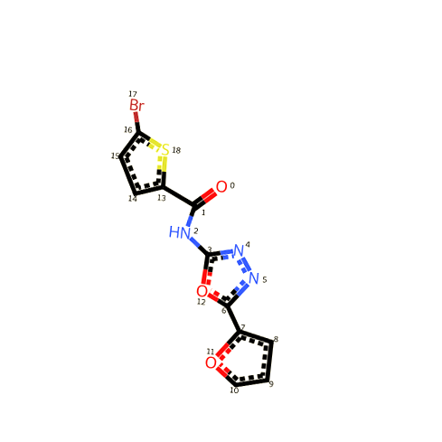 O=C(Nc1nnc(-c2ccco2)o1)c1ccc(Br)s1